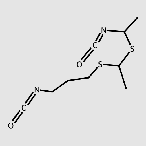 CC(N=C=O)SC(C)SCCCN=C=O